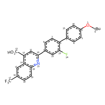 CC(C)(C)Oc1ccc(-c2ccc(-c3cc(C(=O)O)c4cc(C(F)(F)F)ccc4n3)cc2F)cc1